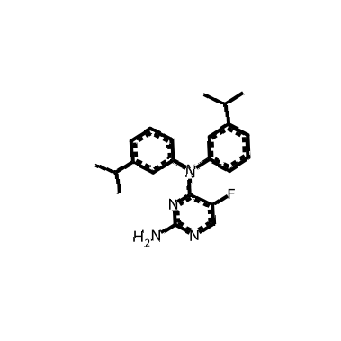 CC(C)c1cccc(N(c2cccc(C(C)C)c2)c2nc(N)ncc2F)c1